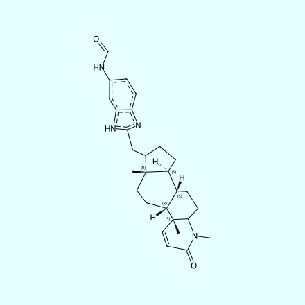 CN1C(=O)C=C[C@@]2(C)C1CC[C@@H]1[C@H]2CC[C@]2(C)C(Cc3nc4ccc(NC=O)cc4[nH]3)CC[C@@H]12